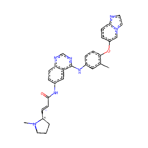 Cc1cc(Nc2ncnc3ccc(NC(=O)/C=C/[C@H]4CCCN4C)cc23)ccc1Oc1ccc2nccn2c1